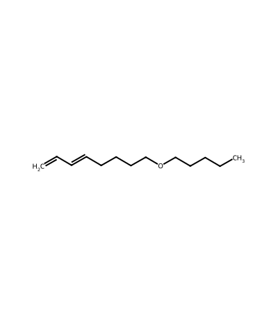 C=CC=CCCCCOCCCCC